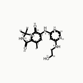 Cc1cc(Nc2cc(NCCO)ncn2)c(=O)n2c1C(=O)NC2(C)C